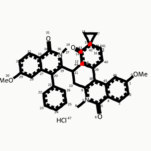 COc1ccc2c(=O)n(C)c(CC(NC(=O)C3(N)CC3)c3c(-c4ccccc4)c4cc(OC)ccc4c(=O)n3C)c(-c3ccccc3)c2c1.Cl